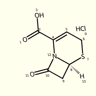 Cl.O=C(O)C1=CCS[C@H]2CC(=O)N12